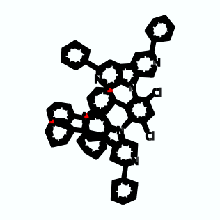 Clc1cc(Cl)c(-n2c3cnc(-c4ccccc4)cc3c3cc(-c4ccccc4)ncc32)c(-c2cccc(N(c3ccccc3)c3ccccc3)c2)c1-n1c2cnc(-c3ccccc3)cc2c2cc(-c3ccccc3)ncc21